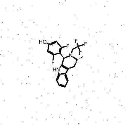 C[C@@H]1Cc2c([nH]c3ccccc23)[C@@H](c2c(F)cc(O)cc2F)N1CC(F)(F)F